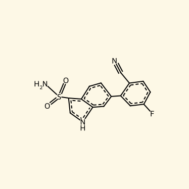 N#Cc1ccc(F)cc1-c1ccc2c(S(N)(=O)=O)c[nH]c2c1